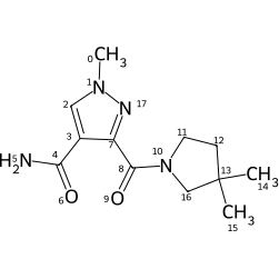 Cn1cc(C(N)=O)c(C(=O)N2CCC(C)(C)C2)n1